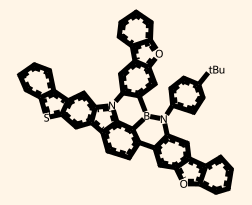 CC(C)(C)c1ccc(N2B3c4cc5oc6ccccc6c5cc4-n4c5cc6c(cc5c5ccc(c3c54)-c3cc4oc5ccccc5c4cc32)sc2ccccc26)cc1